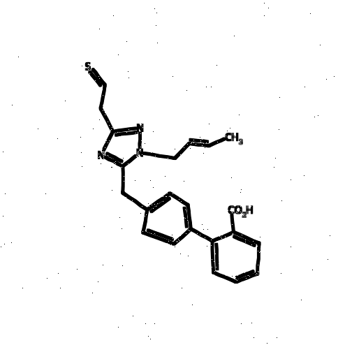 CC=CCn1nc(CC=S)nc1Cc1ccc(-c2ccccc2C(=O)O)cc1